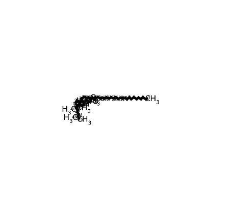 CCCCCCCCCCCCCCCCCCCCCCCC(=O)OC1CC[C@@]2(C)C(CC[C@H]3[C@@H]4CC[C@H]([C@H](C)CCCC(C)C)[C@@]4(C)CC[C@@H]32)C1